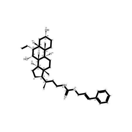 CC[C@H]1[C@@H](O)[C@@H]2[C@H](CC[C@]3(C)[C@@H]([C@H](C)CCNC(=O)OCC=Cc4ccccc4)CC[C@@H]23)[C@@]2(C)CC[C@@H](O)C[C@@H]12